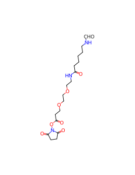 O=CNCCCCCC(=O)NCCOCCOCCC(=O)ON1C(=O)CCC1=O